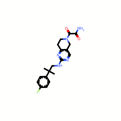 CC(C)(CNc1ncc2c(n1)CCN(C(=O)C(N)=O)C2)c1ccc(F)cc1